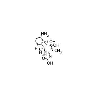 CN1C(=NC(=O)O)NC(C)(c2cc(N)ccc2F)C2(CC2)S1(O)O